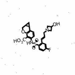 O=C(O)c1c(NS(=O)(=O)c2ccc(F)cc2C=CCN2CC(O)C2)ccc2c1OCC1CC21